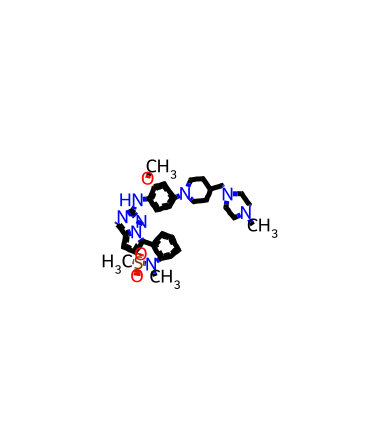 COc1cc(N2CCC(CN3CCN(C)CC3)CC2)ccc1Nc1ncc2ccc(-c3ccccc3N(C)S(C)(=O)=O)n2n1